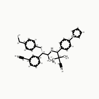 C[C@H](NC(c1ccc(-n2cccc2)cc1)C(C)(C)C#N)[C@@H](Cc1ccc(CI)cc1)c1cccc(C#N)c1